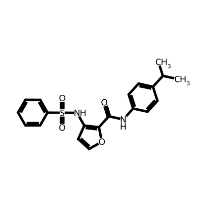 CC(C)c1ccc(NC(=O)c2occc2NS(=O)(=O)c2ccccc2)cc1